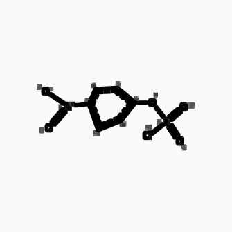 O=[N+]([O-])c1ccc(OS(=O)(=O)Cl)cc1